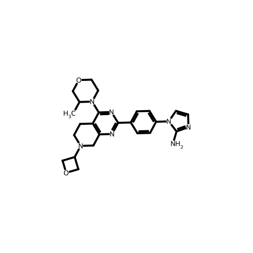 CC1COCCN1c1nc(-c2ccc(-n3ccnc3N)cc2)nc2c1CCN(C1COC1)C2